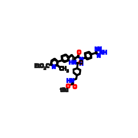 CCOC(=O)c1ccc(-c2ccc(C[C@H](NC(=O)C3CCC(CNC(=O)OC(C)(C)C)CC3)C(=O)Nc3ccc(-c4nn[nH]n4)cc3)cc2)c(C)n1